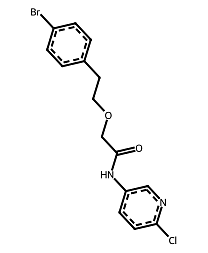 O=C(COCCc1ccc(Br)cc1)Nc1ccc(Cl)nc1